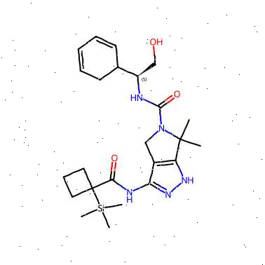 CC1(C)c2[nH]nc(NC(=O)C3([Si](C)(C)C)CCC3)c2CN1C(=O)N[C@H](CO)C1C=CC=CC1